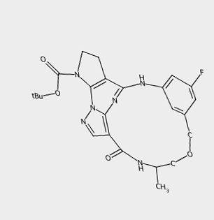 CC1COCc2cc(F)cc(c2)Nc2nc3c(cnn3c3c2CCN3C(=O)OC(C)(C)C)C(=O)N1